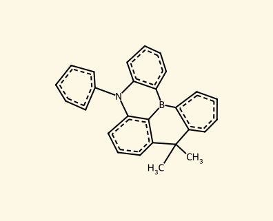 CC1(C)c2ccccc2B2c3ccccc3N(c3ccccc3)c3cccc1c32